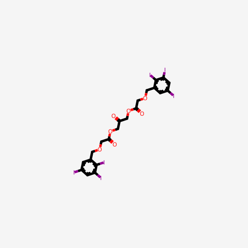 O=C(COC(=O)COCc1cc(I)cc(I)c1I)COC(=O)COCc1cc(I)cc(I)c1I